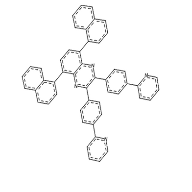 c1ccc(-c2ccc(-c3nc4c(-c5cccc6ccccc56)ccc(-c5cccc6ccccc56)c4nc3-c3ccc(-c4ccccn4)cc3)cc2)nc1